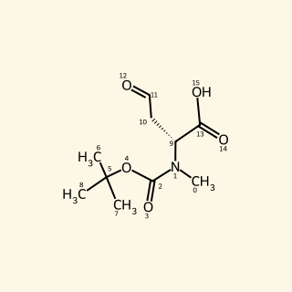 CN(C(=O)OC(C)(C)C)[C@H](CC=O)C(=O)O